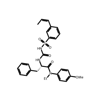 C/C=C\c1cccc(S(=O)(=O)NC(=O)N[C@@H](Cc2ccccc2)C(=O)N(CC)c2ccc(OC)cc2)c1